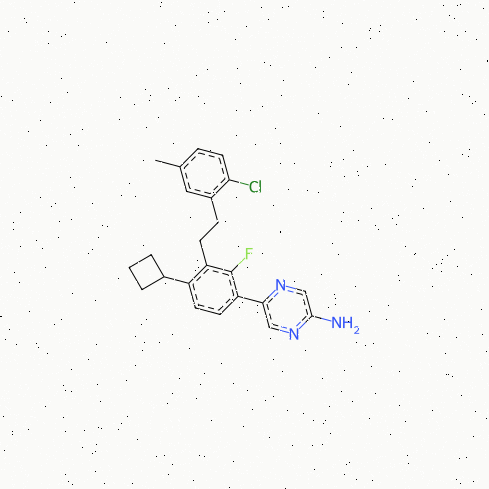 Cc1ccc(Cl)c(CCc2c(C3CCC3)ccc(-c3cnc(N)cn3)c2F)c1